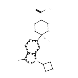 CCc1nn(C2CCC2)c2cc([C@]3(C#N)CC[C@H](C(=O)OC)CC3)ccc12